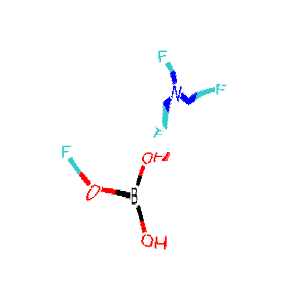 FN(F)F.OB(O)OF